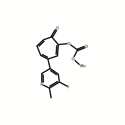 Cc1ncc(-c2cccc(=O)c(OC(=O)OC(C)(C)C)c2)cc1F